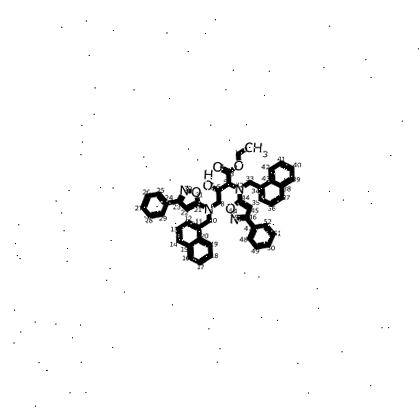 CCOC(=O)C(C(O)CN(Cc1cccc2ccccc12)c1cc(-c2ccccc2)no1)N(Cc1cccc2ccccc12)c1cc(-c2ccccc2)no1